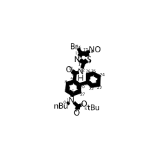 CCCCN(C(=O)OC(C)(C)C)c1ccc(C(=O)Nc2nc(Br)c(N=O)s2)c(-c2ccccc2)c1